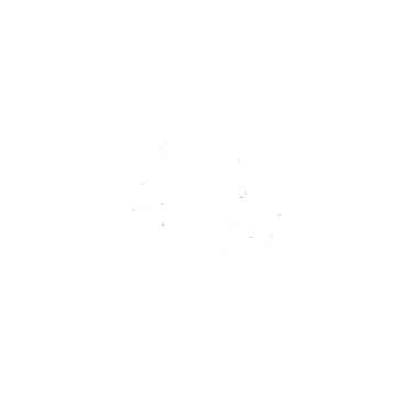 O=C1COCC(=O)C2CCCC2CSSCC2CCCCC1C2